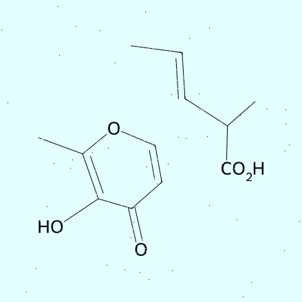 CC=CC(C)C(=O)O.Cc1occc(=O)c1O